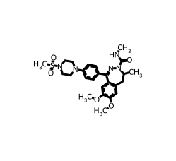 CNC(=O)N1N=C(c2ccc(N3CCN(S(C)(=O)=O)CC3)cc2)c2cc(OC)c(OC)cc2CC1C